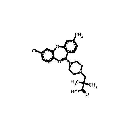 Cc1ccc2c(c1)Oc1cc(Cl)ccc1N=C2N1CCN(CC(C)(C)C(=O)O)CC1